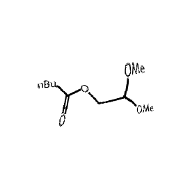 CCCCC(=O)OCC(OC)OC